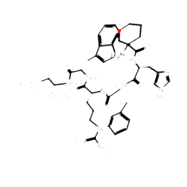 N=C(N)NCCC[C@H](NC(=O)[C@@H](Cc1ccccc1)NC(=O)[C@H](Cc1c[nH]cn1)NC(=O)C1(N)CCCCC1)C(=O)N[C@@H](Cc1c[nH]c2ccccc12)C(=O)N[C@@H](CC(=O)O)C(=O)O